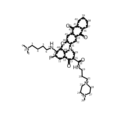 CN(C)CCCCNc1c(F)cc2c(=O)c(C(=O)NCCCN3CCN(C)CC3)cn3c4cc5c(=O)c6ccccc6c(=O)c5cc4oc1c23